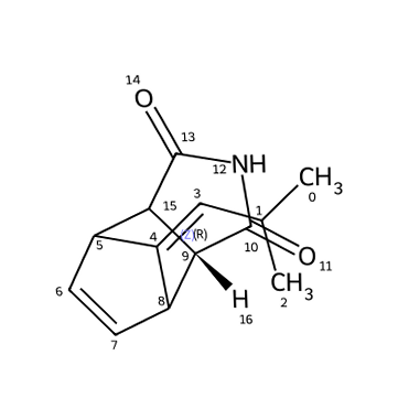 CC(C)/C=C1/C2C=CC1[C@H]1C(=O)NC(=O)C21